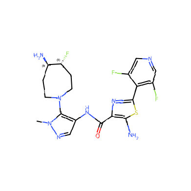 Cn1ncc(NC(=O)c2nc(-c3c(F)cncc3F)sc2N)c1N1CC[C@@H](N)[C@H](F)CC1